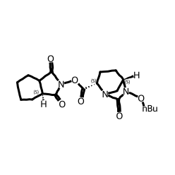 CCCCON1C(=O)N2C[C@@H]1CC[C@H]2C(=O)ON1C(=O)C2CCCC[C@@H]2C1=O